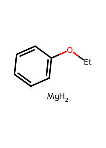 CCOc1c[c]ccc1.[MgH2]